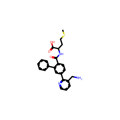 CSCCC(NC(=O)c1ccc(-c2ncccc2CN)cc1-c1ccccc1)C(=O)O